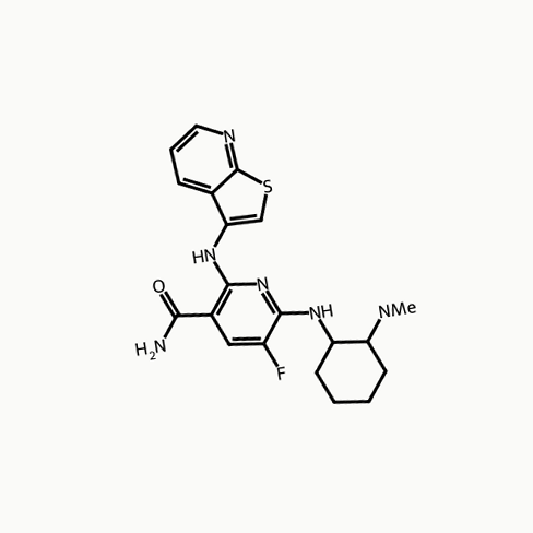 CNC1CCCCC1Nc1nc(Nc2csc3ncccc23)c(C(N)=O)cc1F